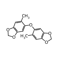 Cc1cc2c(cc1Oc1cc3c(cc1C)OCO3)OCO2